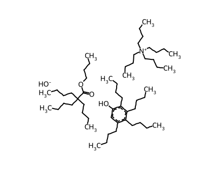 CCCCOC(=O)C(CCCC)(CCCC)CCCC.CCCC[N+](CCCC)(CCCC)CCCC.CCCCc1cc(O)c(CCCC)c(CCCC)c1CCCC.[OH-]